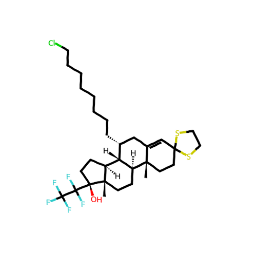 C[C@]12CCC3(C=C1C[C@@H](CCCCCCCCCl)[C@@H]1[C@@H]2CC[C@@]2(C)[C@H]1CC[C@@]2(O)C(F)(F)C(F)(F)F)SCCS3